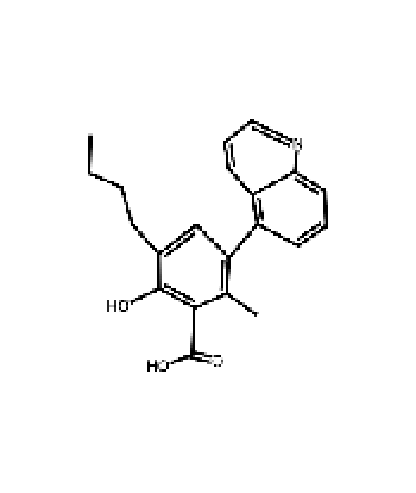 CCCCc1cc(-c2cccc3ncccc23)c(C)c(C(=O)O)c1O